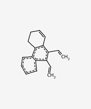 C=Cc1c2c(c3ccccc3c1C=C)CCC=C2